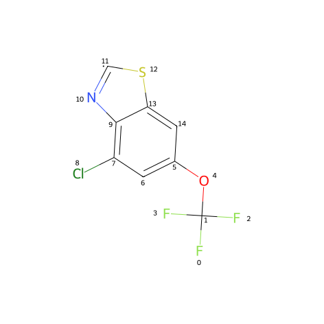 FC(F)(F)Oc1cc(Cl)c2n[c]sc2c1